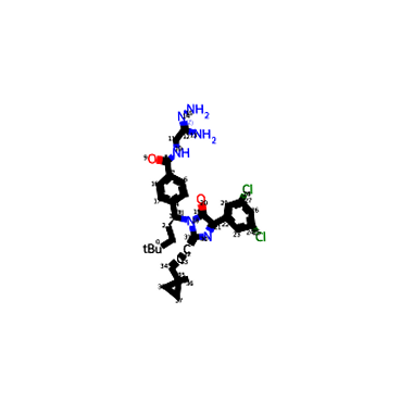 CC(C)(C)CC[C@H](c1ccc(C(=O)NC/C(N)=N/N)cc1)N1C(=O)C(c2cc(Cl)cc(Cl)c2)=NC1=C=C=CC1(C)CC1